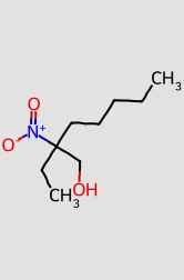 CCCCCC(CC)(CO)[N+](=O)[O-]